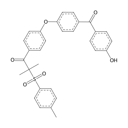 Cc1ccc(S(=O)(=O)C(C)(C)C(=O)c2ccc(Oc3ccc(C(=O)c4ccc(O)cc4)cc3)cc2)cc1